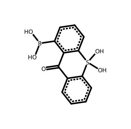 O=C1c2ccccc2S(O)(O)c2cccc(B(O)O)c21